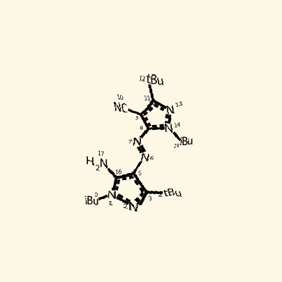 CCC(C)n1nc(C(C)(C)C)c(N=Nc2c(C#N)c(C(C)(C)C)nn2C(C)CC)c1N